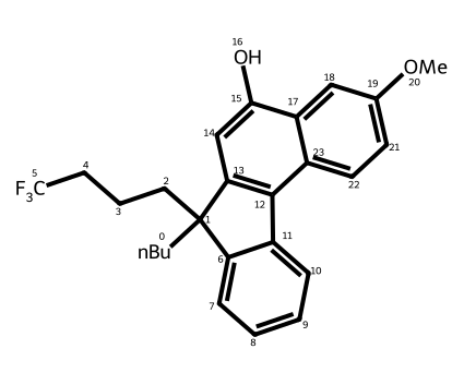 CCCCC1(CCCC(F)(F)F)c2ccccc2-c2c1cc(O)c1cc(OC)ccc21